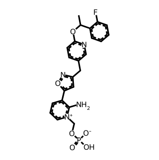 CC(Oc1ccc(Cc2cc(-c3ccc[n+](COP(=O)([O-])O)c3N)on2)cn1)c1ccccc1F